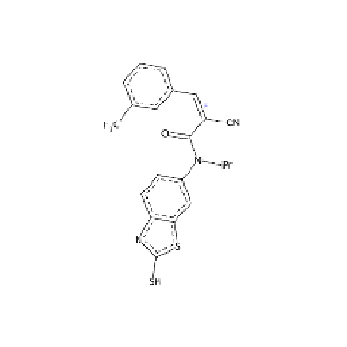 CC(C)N(C(=O)/C(C#N)=C\c1cccc(C(F)(F)F)c1)c1ccc2nc(S)sc2c1